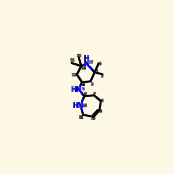 CC1(C)CC(NC2CCC=CCN2)CC(C)(C)N1